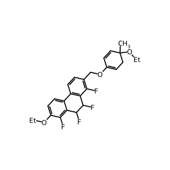 CCOc1ccc2c(c1F)C(F)C(F)c1c-2ccc(COC2=CCC(C)(OCC)C=C2)c1F